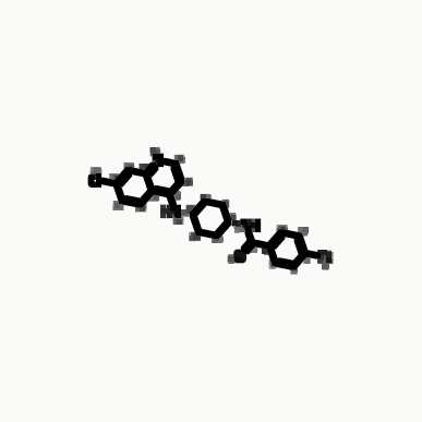 CCc1ccc(C(=O)N[C@H]2CC[C@@H](Nc3ccnc4cc(Cl)ccc34)CC2)cc1